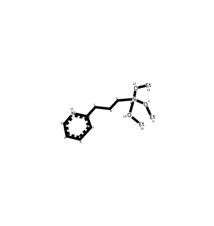 CCO[Si](CCCc1ccccn1)(OCC)OCC